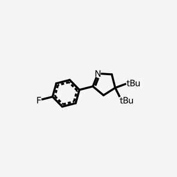 CC(C)(C)C1(C(C)(C)C)CN=C(c2ccc(F)cc2)C1